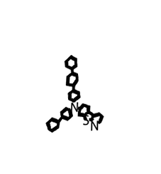 c1ccc(-c2ccc(-c3ccc(N(c4ccc(-c5ccccc5)cc4)c4ccc5c(c4)sc4ncccc45)cc3)cc2)cc1